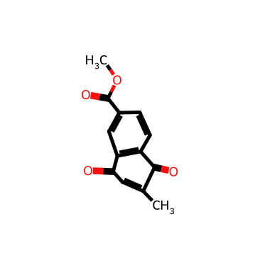 COC(=O)c1ccc2c(c1)C(=O)C=C(C)C2=O